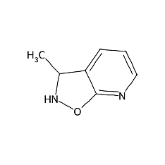 CC1NOc2ncccc21